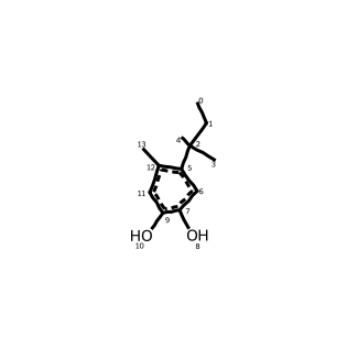 CCC(C)(C)c1cc(O)c(O)cc1C